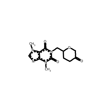 Cn1cnc2c1c(=O)n(CC1CCC(=O)CO1)c(=O)n2C